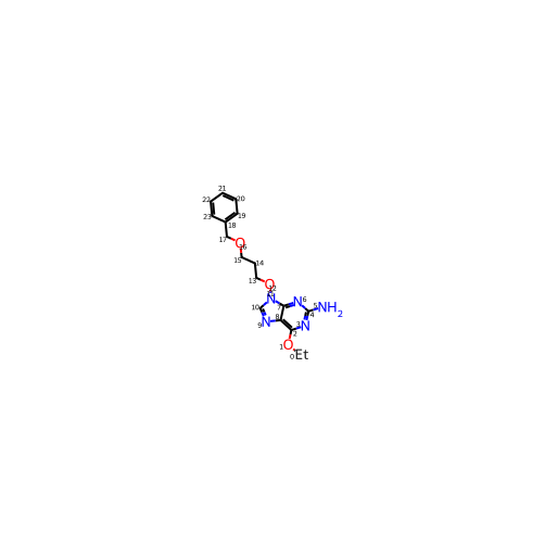 CCOc1nc(N)nc2c1ncn2OCCCOCc1ccccc1